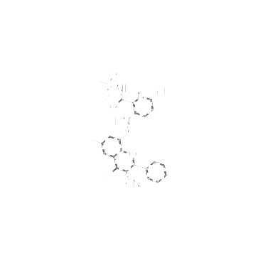 Cc1cc([C@@H](C)Nc2ccc(Cl)nc2C(=O)NS(C)(=O)=O)c2oc(-c3ccccc3)c(C#N)c(=O)c2c1